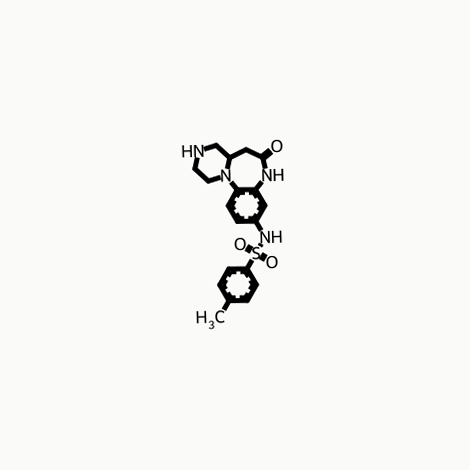 Cc1ccc(S(=O)(=O)Nc2ccc3c(c2)NC(=O)CC2CNCCN32)cc1